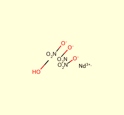 CO.O=[N+]([O-])[O-].O=[N+]([O-])[O-].O=[N+]([O-])[O-].[Nd+3]